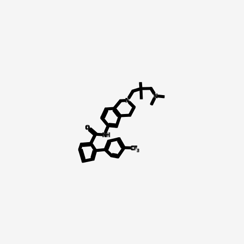 CN(C)CC(C)(C)CN1CCc2cc(NC(=O)c3ccccc3-c3ccc(C(F)(F)F)cc3)ccc2C1